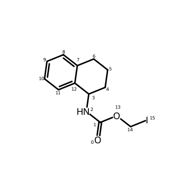 O=C(NC1CCCc2ccccc21)OCI